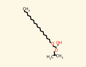 C=C(C)CO[C@@H](CO)COCCCCCCCCCCCCCCCCCC